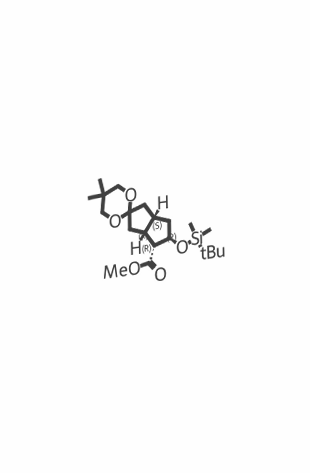 COC(=O)[C@@H]1[C@@H]2CC3(C[C@@H]2C[C@H]1O[Si](C)(C)C(C)(C)C)OCC(C)(C)CO3